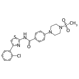 CS(=O)(=O)N1CCN(c2ccc(C(=O)Nc3nc(-c4ccccc4Cl)cs3)cc2)CC1